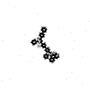 C1=C(c2ccc(-c3ccc(C4Nc5c(c6ccccc6c6ccncc56)N4c4ccccc4)cc3)cc2)NC(c2ccccc2)N=C1c1ccc(-c2ccccc2)cc1